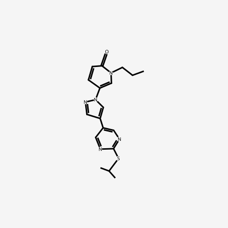 CCCn1cc(-n2cc(-c3cnc(SC(C)C)nc3)cn2)ccc1=O